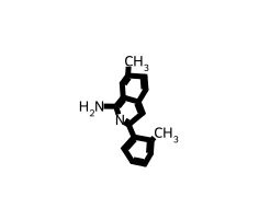 Cc1ccc2cc(-c3ccccc3C)nc(N)c2c1